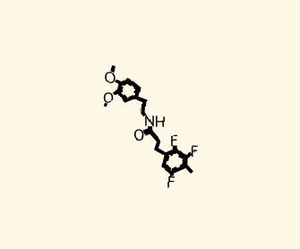 COc1ccc(CCNC(=O)CCc2cc(F)c(C)c(F)c2F)cc1OC